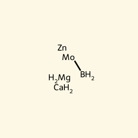 [BH2][Mo].[CaH2].[MgH2].[Zn]